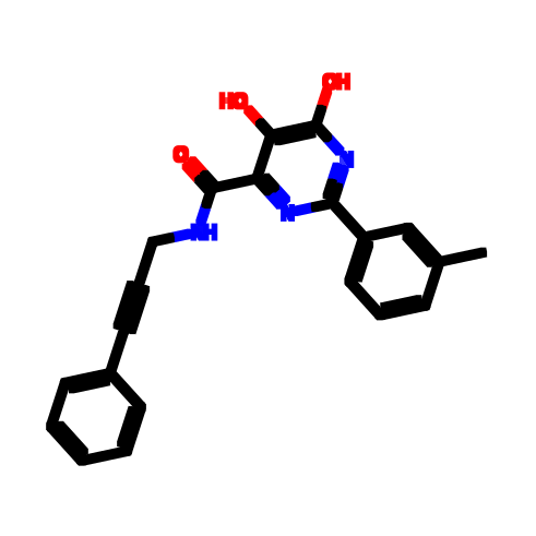 Cc1cccc(-c2nc(O)c(O)c(C(=O)NCC#Cc3ccccc3)n2)c1